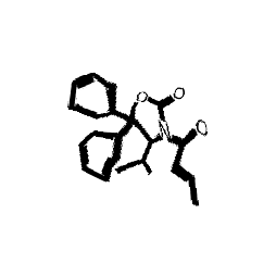 CC=CC(=O)N1C(=O)OC(c2ccccc2)(c2ccccc2)C1C(C)C